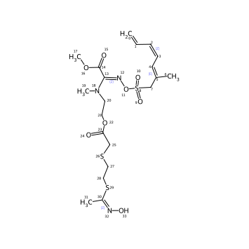 C=C/C=C\C=C(/C)CS(=O)(=O)O/N=C(/C(=O)OC)N(C)CCOC(=O)CSCCS/C(C)=N\O